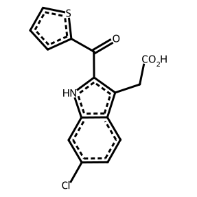 O=C(O)Cc1c(C(=O)c2cccs2)[nH]c2cc(Cl)ccc12